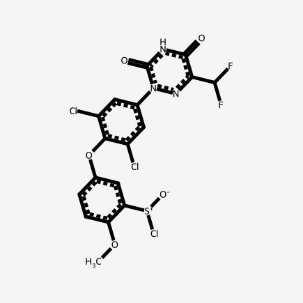 COc1ccc(Oc2c(Cl)cc(-n3nc(C(F)F)c(=O)[nH]c3=O)cc2Cl)cc1[S+]([O-])Cl